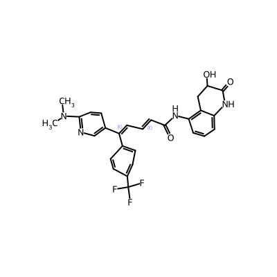 CN(C)c1ccc(/C(=C/C=C/C(=O)Nc2cccc3c2CC(O)C(=O)N3)c2ccc(C(F)(F)F)cc2)cn1